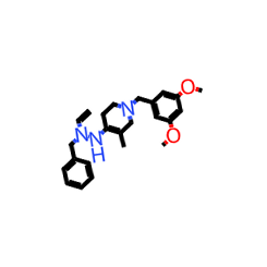 C=CN(Cc1ccccc1)NC1=C(C)CN(Cc2cc(OC)cc(OC)c2)CC1